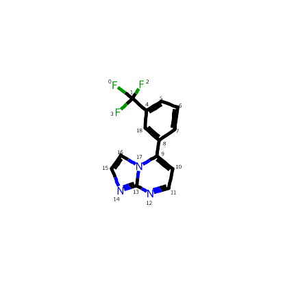 FC(F)(F)c1cccc(-c2ccnc3nccn23)c1